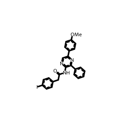 COc1ccc(-c2cnc(NC(=O)Cc3ccc(I)cc3)c(-c3ccccc3)n2)cc1